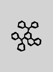 c1ccc(N(c2ccccc2)c2cc(N(c3ccccc3)c3ccccc3)c3ccc4ccccc4c3c2)cc1